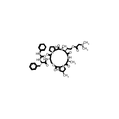 C[C@H]1C[C@H]2C(=O)OC[C@H](NC(=O)[C@H](Cc3ccccc3)NC(=O)NC3=CCCC=C3)C(=O)N3CCC[C@H]3C(=O)N(C)[C@@H](CCOC(=O)CN(C)C)C(=O)N[C@@H](C)C(=O)N2C1